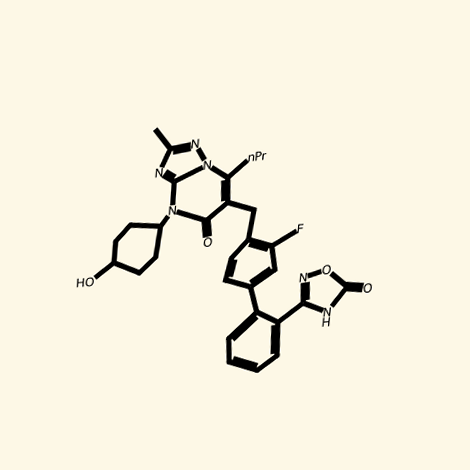 CCCc1c(Cc2ccc(-c3ccccc3-c3noc(=O)[nH]3)cc2F)c(=O)n(C2CCC(O)CC2)c2nc(C)nn12